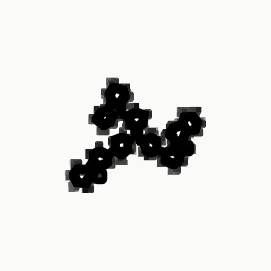 c1cc(N(c2ccc(-c3ccc4c(c3)oc3ccccc34)cc2)c2ccc(-c3cccc4oc5c6ccccc6ccc5c34)cc2)cc(-n2c3ccccc3c3ccccc32)c1